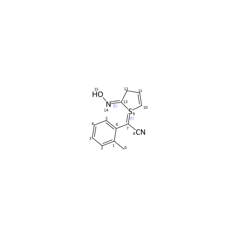 Cc1ccccc1/C(C#N)=S1/C=CC/C1=N\O